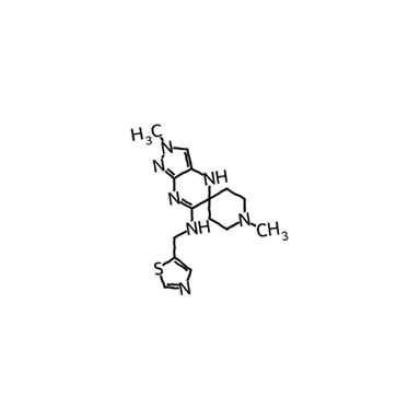 CN1CCC2(CC1)Nc1cn(C)nc1N=C2NCc1cncs1